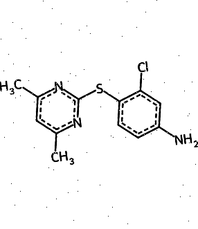 Cc1cc(C)nc(Sc2ccc(N)cc2Cl)n1